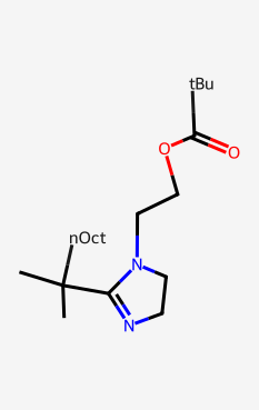 CCCCCCCCC(C)(C)C1=NCCN1CCOC(=O)C(C)(C)C